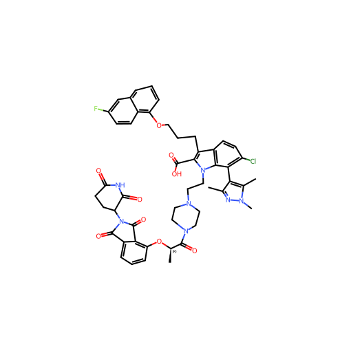 Cc1nn(C)c(C)c1-c1c(Cl)ccc2c(CCCOc3cccc4cc(F)ccc34)c(C(=O)O)n(CCN3CCN(C(=O)[C@@H](C)Oc4cccc5c4C(=O)N(C4CCC(=O)NC4=O)C5=O)CC3)c12